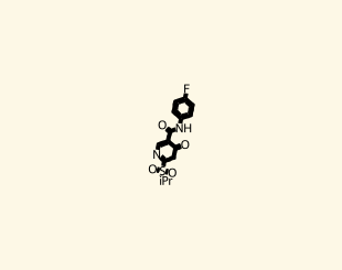 CC(C)S(=O)(=O)C1=NC=C(C(=O)Nc2ccc(F)cc2)C(=O)C1